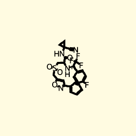 N#CC1(NC(=O)C(CS(=O)(=O)Cc2cc(-c3ccccc3)no2)N[C@H](c2ccc(F)cc2)C(F)(F)F)CC1